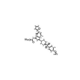 COC(=O)Cn1cc(C2CCN(S(=O)(=O)c3ccc(OC(C)C)cc3)CC2)c2ccc(-c3ccco3)nc21